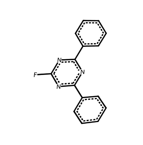 Fc1nc(-c2ccccc2)nc(-c2ccccc2)n1